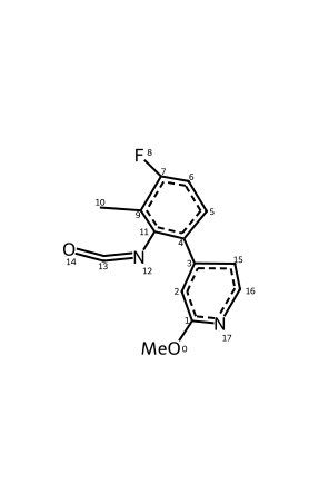 COc1cc(-c2ccc(F)c(C)c2N=C=O)ccn1